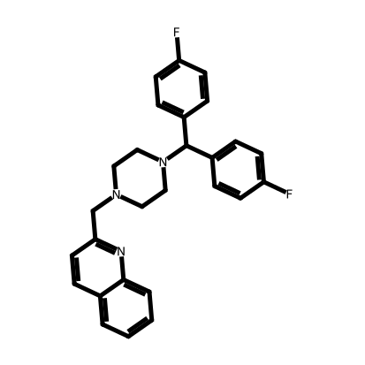 Fc1ccc(C(c2ccc(F)cc2)N2CCN(Cc3ccc4ccccc4n3)CC2)cc1